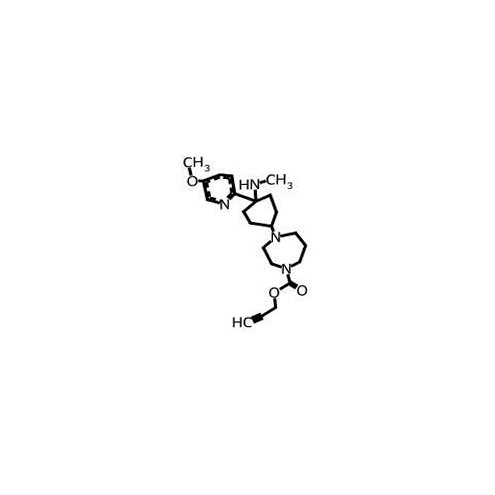 C#CCOC(=O)N1CCCN(C2CCC(NC)(c3ccc(OC)cn3)CC2)CC1